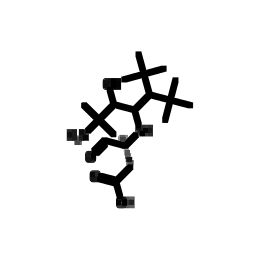 CC(C)(C)C(C(N[C@@H](C=O)CC(=O)O)C(O)C(C)(C)N)C(C)(C)C